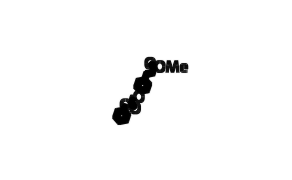 COC(=O)/C=C/c1ccc(OCC(=O)Oc2ccccc2)cc1